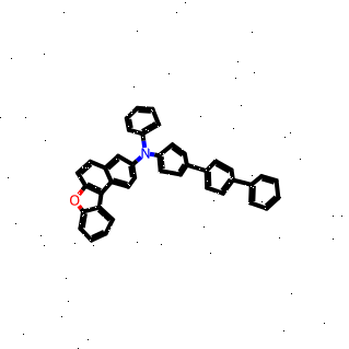 c1ccc(-c2ccc(-c3ccc(N(c4ccccc4)c4ccc5c(ccc6oc7ccccc7c65)c4)cc3)cc2)cc1